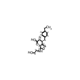 CCc1ccc(C[C@H](NC(=O)O)c2noc(NCCO)n2)cc1